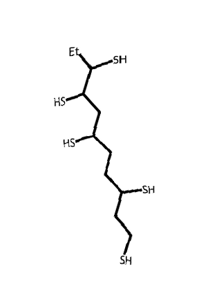 CCC(S)C(S)CC(S)CCC(S)CCS